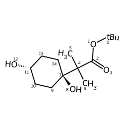 CC(C)(C)OC(=O)C(C)(C)[C@]1(O)CC[C@H](O)CC1